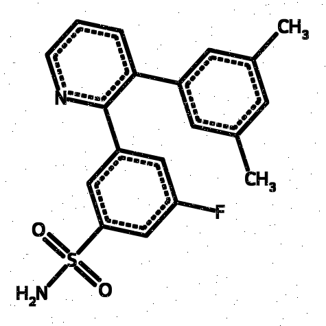 Cc1cc(C)cc(-c2cccnc2-c2cc(F)cc(S(N)(=O)=O)c2)c1